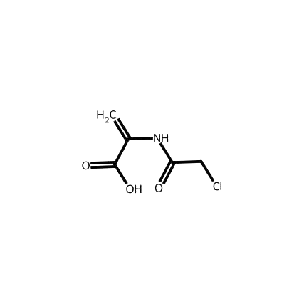 C=C(NC(=O)CCl)C(=O)O